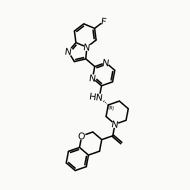 C=C(C1COc2ccccc2C1)N1CCC[C@@H](Nc2ccnc(-c3cnc4ccc(F)cn34)n2)C1